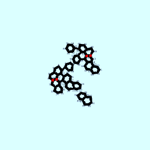 c1ccc(-c2ccc3ccccc3c2-c2ccc3c(ccc4ccccc43)c2-c2cccc3ccccc23)cc1.c1ccc(-c2ccc3ccccc3c2-c2ccccc2-c2cccc3c2ccc2ccccc23)cc1.c1ccc2ccccc2c1